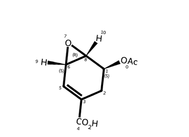 CC(=O)O[C@H]1CC(C(=O)O)=C[C@@H]2O[C@@H]21